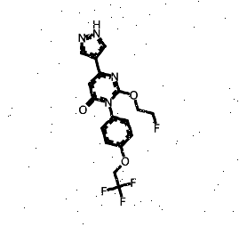 O=c1cc(-c2cn[nH]c2)nc(OCCF)n1-c1ccc(OCC(F)(F)F)cc1